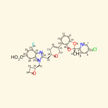 C[C@]1(c2ccc(Cl)cn2)Oc2cccc(C3=CC[C@H](Cc4nc5c(F)cc(C(=O)O)cc5n4C[C@@H]4CCO4)OC3)c2O1